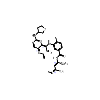 C=C/N=C1/C=NC(NC2CCOC2)=N/C1=C(/N)Nc1cc(C(=O)N/C(=C/C(=N\C)C(C)(C)C)NC)ccc1C